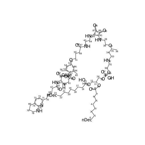 CCCCCCCCCCCCCCCCCC(=O)OC(CO[C@@H](O)CCCCCCCCCCCCCCCCC)COP(=O)(O)OCCNCCC(C)OCCNc1c(NCCNC(=O)CCCOc2cc(C)c(S(=O)(=O)CNC(NC(=O)CCCCc3ccc4c(n3)NCCC4)C(=O)OC)c(C)c2)c(=O)c1=O